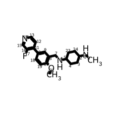 CNC1CCC(NCc2cc(-c3ccncc3F)ccc2OC)CC1